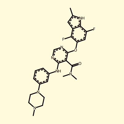 Cc1cc2c(F)c(Oc3ncnc(Nc4cccc(N5CCN(C)CC5)c4)c3C(=O)N(C)C)cc(F)c2[nH]1